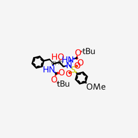 COc1ccc(S(=O)(=O)N(C[C@@H](O)[C@H](Cc2ccccc2)NC(=O)OC(C)(C)C)NC(=O)OC(C)(C)C)cc1